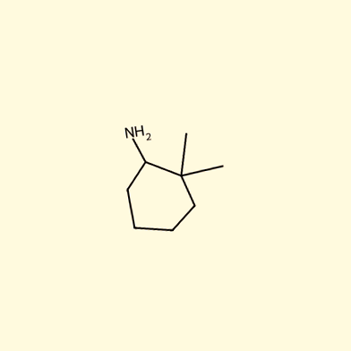 CC1(C)CCCCC1N